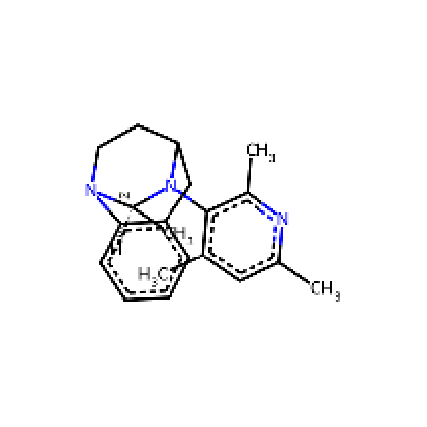 Cc1cc(C)c(N2C3CCN(c4ccccc4C3)[C@@H]2C)c(C)n1